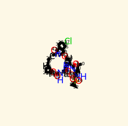 C=C[C@@H]1C[C@]1(NC(=O)[C@@H]1C[C@@H]2CN1C(=O)[C@H](C(C)(C)C)NC(=O)O[C@@H]1CCC[C@H]1CC=CCCn1c(cc3cc(Cl)ccc3c1=O)O2)C(=O)NS(=O)(=O)C1CC1